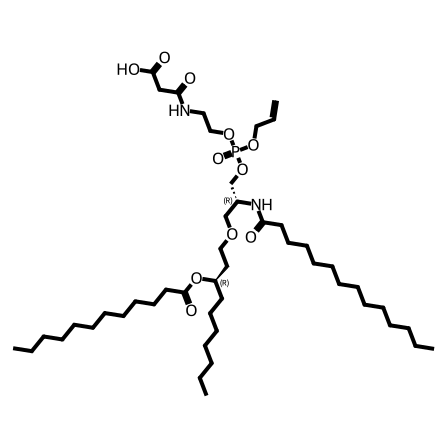 C=CCOP(=O)(OCCNC(=O)CC(=O)O)OC[C@@H](COCC[C@@H](CCCCCCC)OC(=O)CCCCCCCCCCC)NC(=O)CCCCCCCCCCCCC